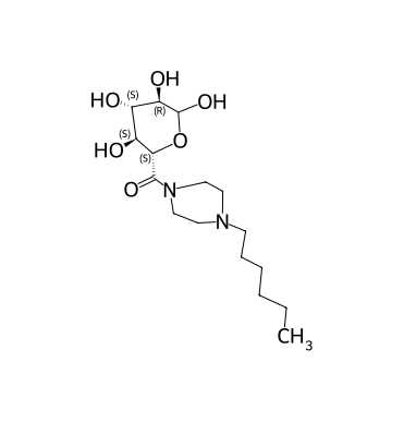 CCCCCCN1CCN(C(=O)[C@H]2OC(O)[C@H](O)[C@@H](O)[C@@H]2O)CC1